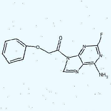 Nc1nc(F)nc2c1ncn2C(=O)COc1ccccc1